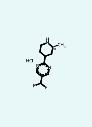 C[C@H]1CC(c2ncc(C(F)F)cn2)CCN1.Cl